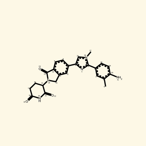 Cc1cc(-c2nc(-c3ccc4c(c3)CN(C3CCC(=O)NC3=O)C4=O)cn2C)ccc1N